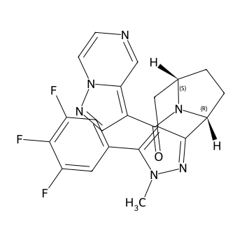 Cn1nc2c(c1-c1cc(F)c(F)c(F)c1)C[C@@H]1CC[C@H]2N1C(=O)c1cnn2ccncc12